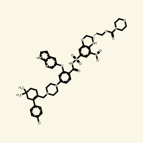 CC1(C)CCC(CN2CCN(c3ccc(C(=O)NS(=O)(=O)c4cc5c(c([N+](=O)[O-])c4)N[C@@H](CCOC(=O)N4CCOCC4)CO5)c(Oc4cnc5[nH]ccc5c4)c3)CC2)=C(c2ccc(Cl)cc2)C1